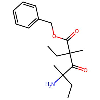 CCC(C)(N)C(=O)C(C)(CC)C(=O)OCc1ccccc1